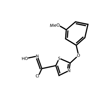 COc1cccc(Oc2ncc(C(Cl)=NO)s2)c1